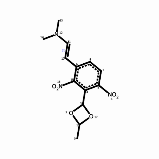 CC1OC(c2c([N+](=O)[O-])ccc(/C=C/N(C)C)c2[N+](=O)[O-])O1